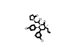 C=CC[C@@]1(C)CC(c2cccc(Cl)c2)[C@@H](c2ccc(Cl)cc2)N(C(CC)CN2CCCC2=O)C1=O